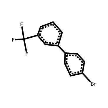 FC(F)(F)c1cccc(-c2ccc(Br)cc2)c1